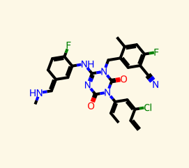 C=C/C(Cl)=C\C(=C/C)n1c(=O)nc(NC2=C/C(=C/NC)CC=C2F)n(Cc2cc(C#N)c(F)cc2C)c1=O